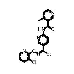 CC/C(=N/Oc1ncccc1Cl)c1ccc(NC(=O)c2cnccc2C)nc1